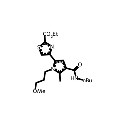 CCCCNC(=O)c1cc(-c2csc(C(=O)OCC)n2)n(CCCOC)c1C